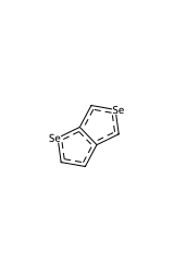 c1cc2c[se]cc2[se]1